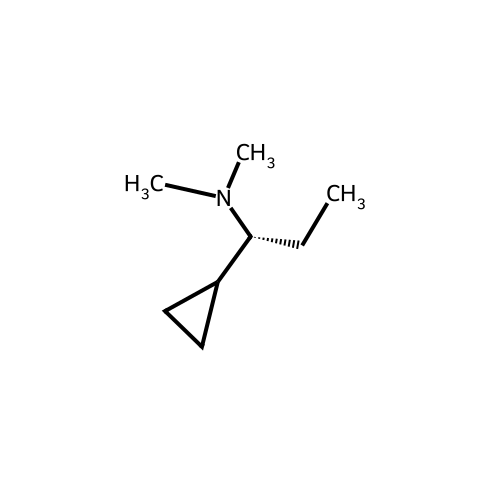 CC[C@H](C1CC1)N(C)C